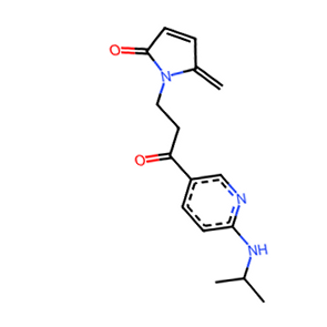 C=C1C=CC(=O)N1CCC(=O)c1ccc(NC(C)C)nc1